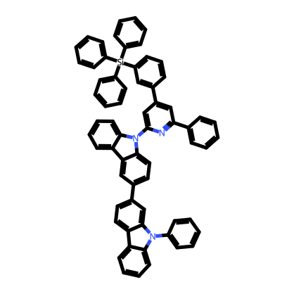 c1ccc(-c2cc(-c3cccc([Si](c4ccccc4)(c4ccccc4)c4ccccc4)c3)cc(-n3c4ccccc4c4cc(-c5ccc6c7ccccc7n(-c7ccccc7)c6c5)ccc43)n2)cc1